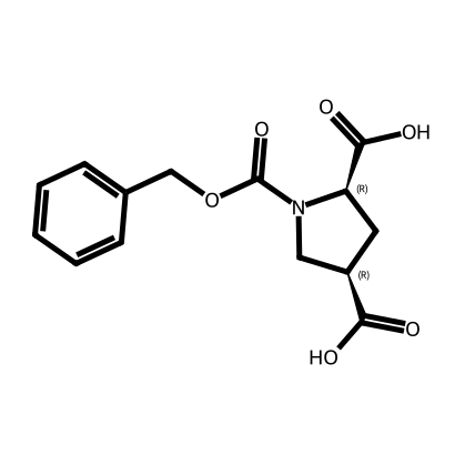 O=C(O)[C@@H]1C[C@H](C(=O)O)N(C(=O)OCc2ccccc2)C1